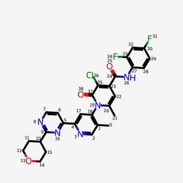 Cc1cnc(-c2ccnc(C3CCOCC3)n2)cc1-n1c(C)cc(C(=O)Nc2ccc(F)cc2F)c(Cl)c1=O